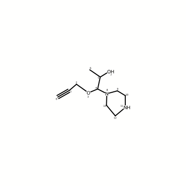 C#CCOC(C(C)O)N1CCNCC1